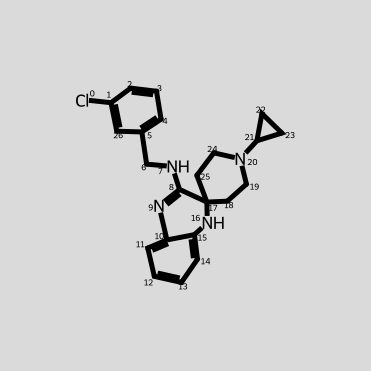 Clc1cccc(CNC2=Nc3ccccc3NC23CCN(C2CC2)CC3)c1